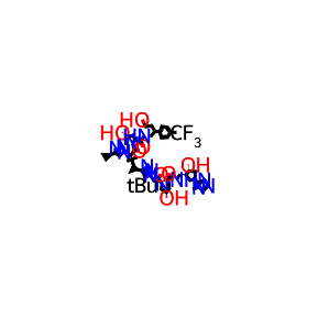 Cn1cnnc1[C@H]1C[C@H](CNC(=O)[C@@H]2C[C@@H](O)CN2C(=O)[C@@H](n2cc(C3CC3C(C)(C)[C@@H](C(=O)N3C[C@H](O)C[C@H]3C(=O)NCC(CCO)c3ccc(C(F)(F)F)cc3)n3cc(C4CC4)nn3)nn2)C(C)(C)C)[C@H](O)C1